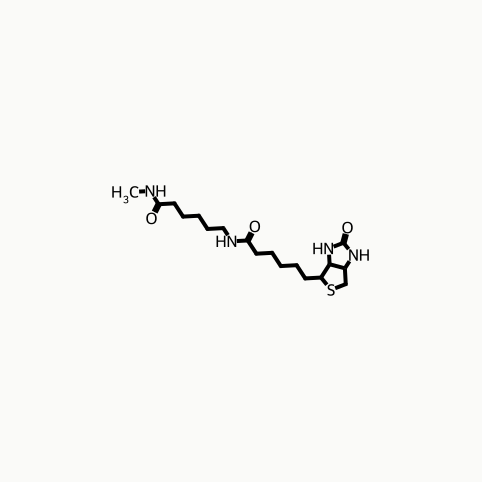 CNC(=O)CCCCCNC(=O)CCCCCC1SCC2NC(=O)NC21